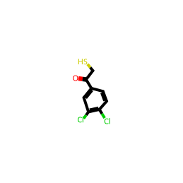 O=C(CS)c1ccc(Cl)c(Cl)c1